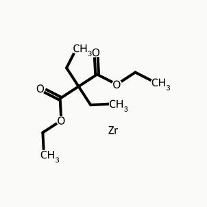 CCOC(=O)C(CC)(CC)C(=O)OCC.[Zr]